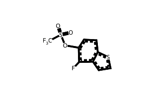 O=S(=O)(Oc1ccc2sccc2c1F)C(F)(F)F